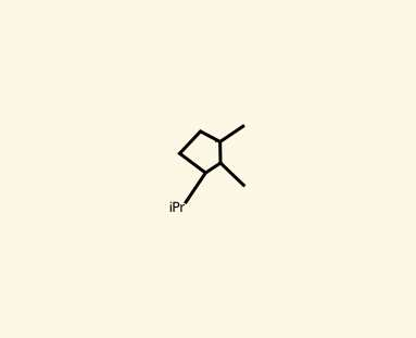 C[C]1CCC(C(C)C)C1C